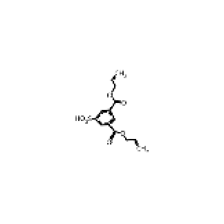 C=CCOC(=O)c1cc(C(=O)OCC=C)cc(S(=O)(=O)O)c1